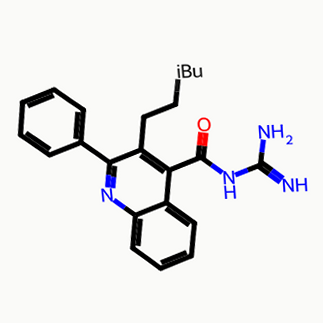 CCC(C)CCc1c(-c2ccccc2)nc2ccccc2c1C(=O)NC(=N)N